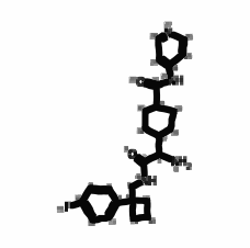 NC(C(=O)NCC1(c2ccc(F)cc2)CCC1)C1CCC(C(=O)Nc2ccncc2)CC1